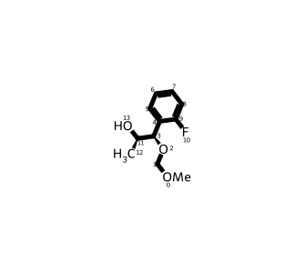 COCO[C@H](c1ccccc1F)[C@@H](C)O